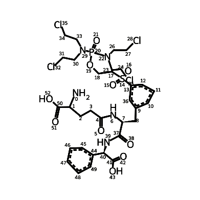 NC(CCC(=O)N[C@@H](Cc1cccc(S(=O)(=O)CCOP(=O)(N(CCCl)CCCl)N(CCCl)CCCl)c1)C(=O)N[C@@H](C(=O)O)c1ccccc1)C(=O)O